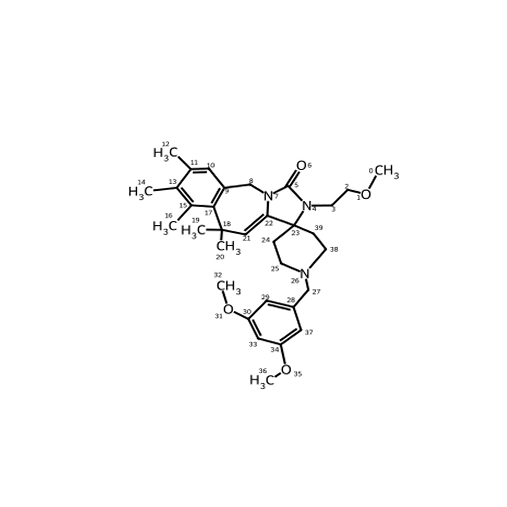 COCCN1C(=O)N2Cc3cc(C)c(C)c(C)c3C(C)(C)C=C2C12CCN(Cc1cc(OC)cc(OC)c1)CC2